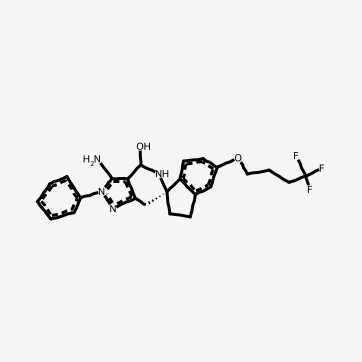 Nc1c2c(nn1-c1ccccc1)C[C@]1(CCc3cc(OCCCC(F)(F)F)ccc31)NC2O